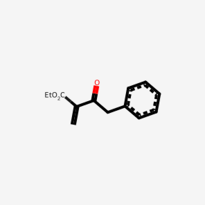 C=C(C(=O)Cc1ccccc1)C(=O)OCC